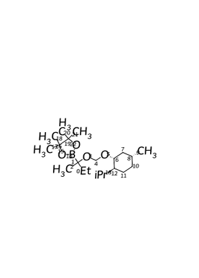 CCC(C)(OCO[C@@H]1C[C@H](C)CC[C@H]1C(C)C)B1OC(C)(C)C(C)(C)O1